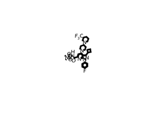 CN(C)S(=O)(=O)NC(=O)c1cc(N2CCC(N3CCCC(C(F)(F)F)C3)CC2)c2c(C3CCC3)nn(-c3ccc(F)cc3)c2n1